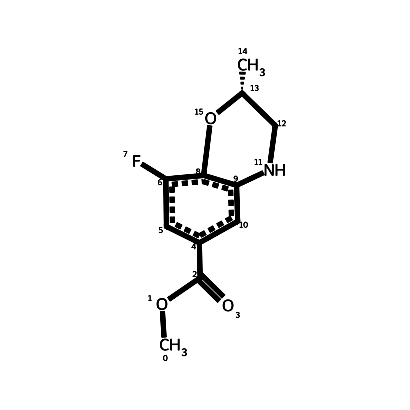 COC(=O)c1cc(F)c2c(c1)NC[C@@H](C)O2